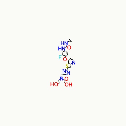 Cn1c(CN(CCO)C(=O)CO)cnc1-c1cc2nccc(Oc3ccc(NC(=O)NC4CC4)cc3F)c2s1